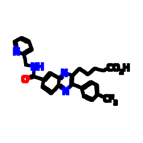 O=C(O)CCCCc1nc2cc(C(=O)NCc3ccccn3)ccc2nc1-c1ccc(C(F)(F)F)cc1